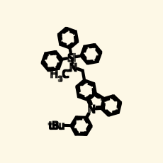 CN(Cc1ccc2c(c1)c1ccccc1n2-c1cccc(C(C)(C)C)c1)[Si](c1ccccc1)(c1ccccc1)c1ccccc1